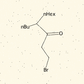 CCCCCCC(CCCC)C(=O)CCBr